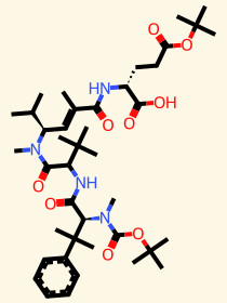 C/C(=C\[C@H](C(C)C)N(C)C(=O)C(NC(=O)[C@@H](N(C)C(=O)OC(C)(C)C)C(C)(C)c1ccccc1)C(C)(C)C)C(=O)N[C@H](CCC(=O)OC(C)(C)C)C(=O)O